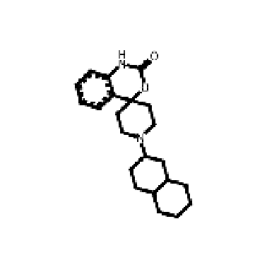 O=C1Nc2ccccc2C2(CCN(C3CCC4CCCCC4C3)CC2)O1